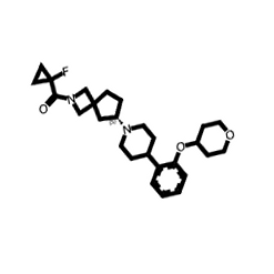 O=C(N1CC2(CC[C@H](N3CCC(c4ccccc4OC4CCOCC4)CC3)C2)C1)C1(F)CC1